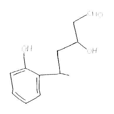 CC(CC(O)CC=O)c1ccccc1O